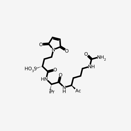 CC(=O)[C@H](CCCNC(N)=O)NC(=O)[C@@H](NC(=O)[C@@H](CCN1C(=O)C=CC1=O)S(=O)(=O)O)C(C)C